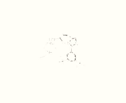 CCN1CCN(NC(=O)/C=C\n2cnc(-c3cc(C(F)(F)F)cc(C(F)(F)F)c3)n2)CC1